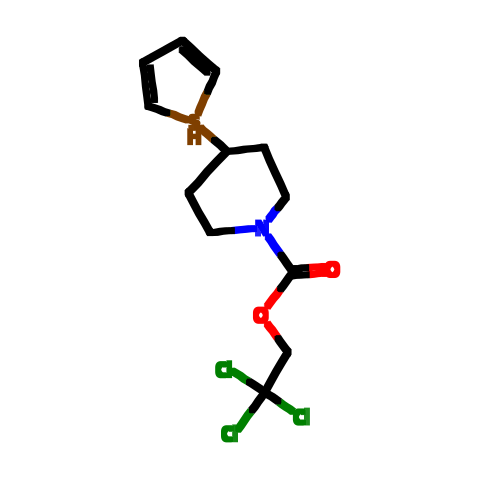 O=C(OCC(Cl)(Cl)Cl)N1CCC([SH]2C=CC=C2)CC1